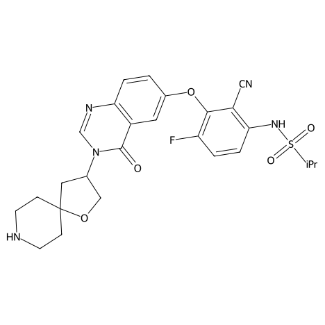 CC(C)S(=O)(=O)Nc1ccc(F)c(Oc2ccc3ncn(C4COC5(CCNCC5)C4)c(=O)c3c2)c1C#N